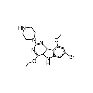 CCOC1=NC(N2CCNCC2)=NC2c3c(cc(Br)cc3OC)NC12